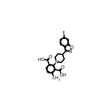 Cc1ccc(C(=O)O)c(N2CCC(c3noc4cc(F)ccc34)CC2)c1C(=O)O